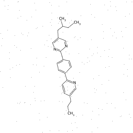 CCCc1ccc(-c2ccc(-c3ncc(CC(C)CC)cn3)cc2)nc1